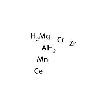 [AlH3].[Ce].[Cr].[MgH2].[Mn].[Zr]